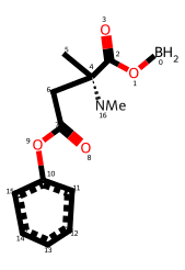 BOC(=O)[C@](C)(CC(=O)Oc1ccccc1)NC